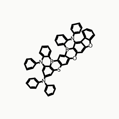 c1ccc(N(c2ccccc2)c2cc3c4c(c2)N(c2ccccc2)c2ccccc2B4c2cc4c(cc2S3)Oc2cc3oc5ccccc5c3c3c2B4c2ccccc2N3c2ccccc2)cc1